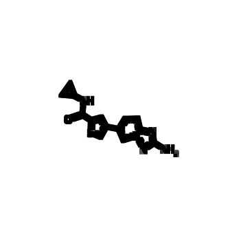 Nc1nc2ccc(-c3csc(C(=O)NC4CC4)c3)cn2n1